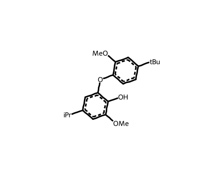 COc1cc(C(C)(C)C)ccc1Oc1cc(C(C)C)cc(OC)c1O